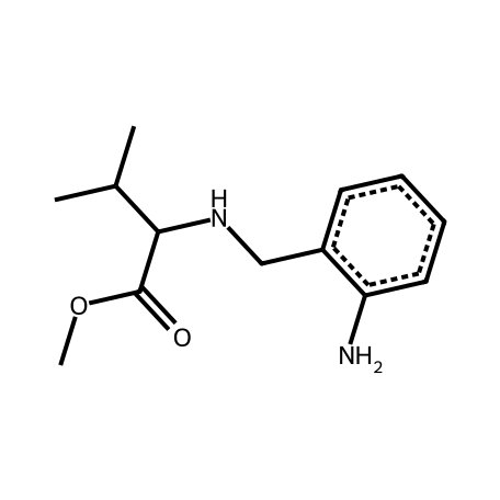 COC(=O)C(NCc1ccccc1N)C(C)C